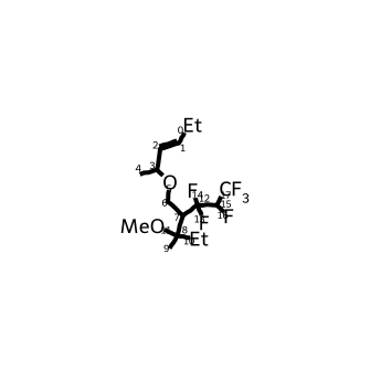 CCC=CC(C)OCC(C(C)(CC)OC)C(F)(F)C(F)C(F)(F)F